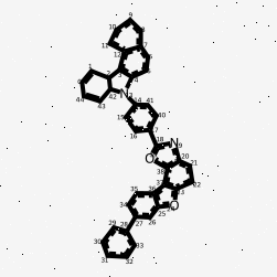 C1=CC2c3c(ccc4ccccc34)N(c3ccc(-c4nc5ccc6oc7cc(-c8ccccc8)ccc7c6c5o4)cc3)C2C=C1